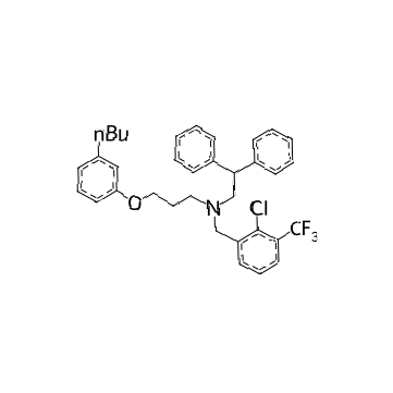 CCCCc1cccc(OCCCN(Cc2cccc(C(F)(F)F)c2Cl)CC(c2ccccc2)c2ccccc2)c1